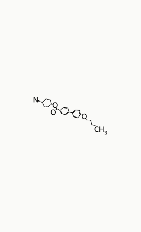 CCCCCOc1ccc(-c2ccc(C(=O)OC3CCC(C#N)CC3)cc2)cc1